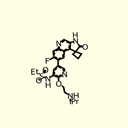 CCS(=O)(=O)Nc1cc(-c2cc3c4c(cnc3cc2F)NC(=O)C42CCC2)cnc1OCCNC(C)C